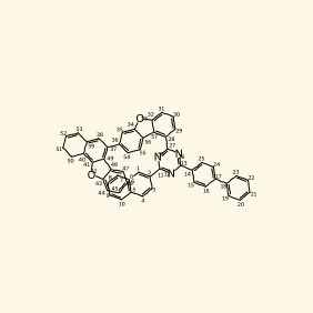 C/C=C(\C=C/c1ccccc1)c1nc(-c2ccc(-c3ccccc3)cc2)nc(-c2cccc3oc4cc(-c5cc6c(c7oc8ccccc8c57)CCC=C6)ccc4c23)n1